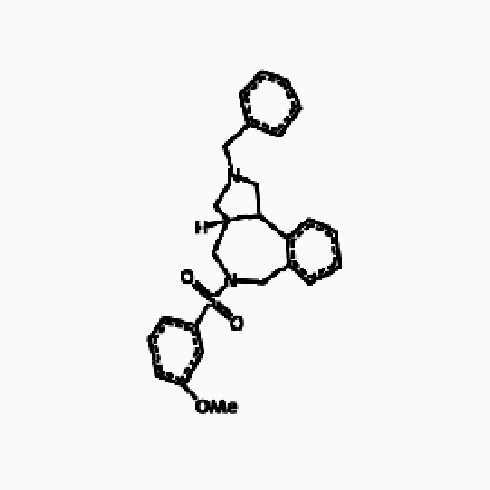 COc1cccc(S(=O)(=O)N2Cc3ccccc3C3CN(Cc4ccccc4)C[C@H]3C2)c1